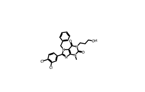 Cn1c(=O)n(CCCO)c(=O)c2c1nc(-c1ccc(Cl)c(Cl)c1)n2Cc1ccccc1